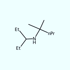 CCCC(C)(C)NC(CC)CC